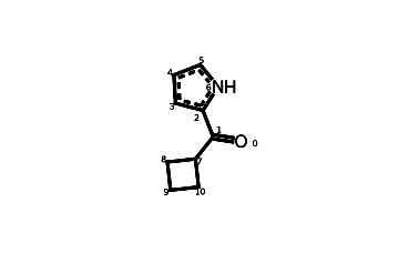 O=C(c1ccc[nH]1)C1CCC1